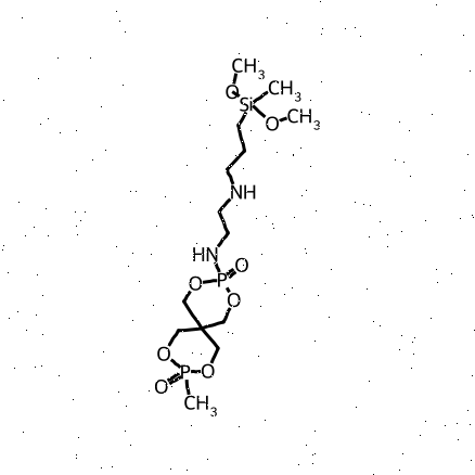 CO[Si](C)(CCCNCCNP1(=O)OCC2(COP(C)(=O)OC2)CO1)OC